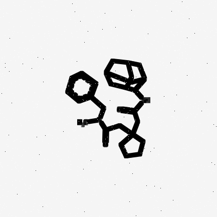 CN(Cc1ccccc1)C(=O)CC1(CC(=O)NC2C3CC4CC(C3)CC2C4)CCCC1